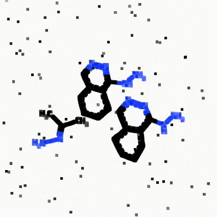 CC(C)=NN.NNc1nncc2ccccc12.NNc1nncc2ccccc12